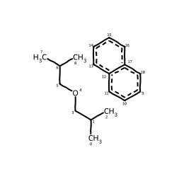 CC(C)COCC(C)C.c1ccc2ccccc2c1